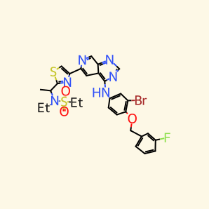 CCN(C(C)c1nc(-c2cc3c(Nc4ccc(OCc5cccc(F)c5)c(Br)c4)ncnc3cn2)cs1)S(=O)(=O)CC